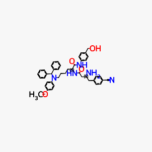 COc1ccc(N(CCCC[C@H](NC(=O)C[C@@H](N)Cc2ccc(C#N)cc2)C(=O)Nc2ccc(CO)cc2)C(c2ccccc2)c2ccccc2)cc1